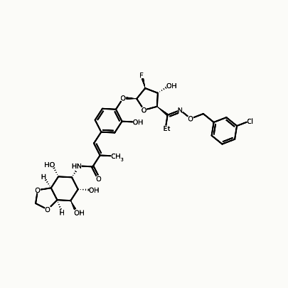 CCC(=NOCc1cccc(Cl)c1)[C@H]1O[C@@H](Oc2ccc(C=C(C)C(=O)N[C@@H]3[C@H](O)[C@@H](O)[C@H]4OCO[C@H]4[C@@H]3O)cc2O)[C@@H](F)[C@@H]1O